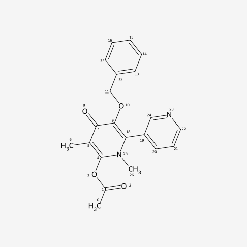 CC(=O)Oc1c(C)c(=O)c(OCc2ccccc2)c(-c2cccnc2)n1C